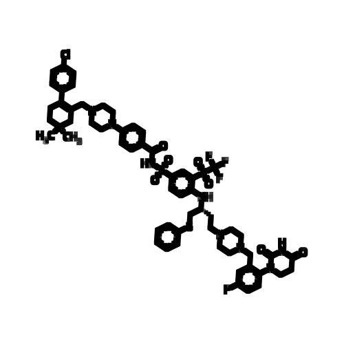 CC1(C)CCC(c2ccc(Cl)cc2)=C(CN2CCN(c3ccc(C(=O)NS(=O)(=O)c4ccc(N[C@H](CCN5CCN(Cc6cc(F)ccc6N6CCC(=O)NC6=O)CC5)CSc5ccccc5)c(S(=O)(=O)C(F)(F)F)c4)cc3)CC2)C1